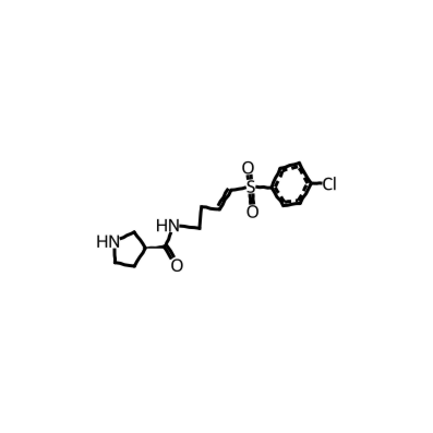 O=C(NCC/C=C/S(=O)(=O)c1ccc(Cl)cc1)[C@H]1CCNC1